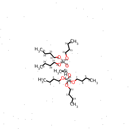 CCCCO[Si](OCCCC)(OCCCC)O[SiH](C)O[Si](OCCCC)(OCCCC)OCCCC